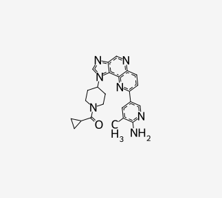 Cc1cc(-c2ccc3ncc4ncn(C5CCN(C(=O)C6CC6)CC5)c4c3n2)cnc1N